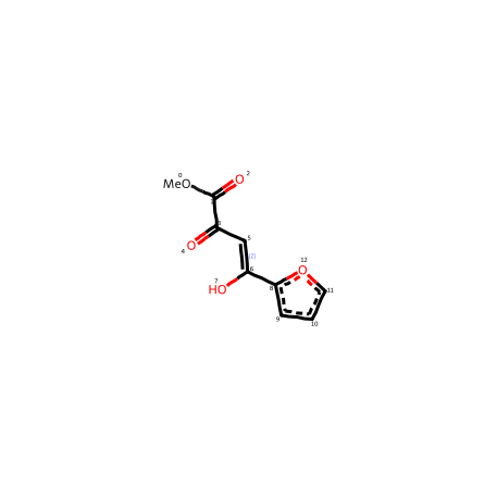 COC(=O)C(=O)/C=C(\O)c1ccco1